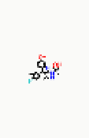 Cc1cc(-c2c(C(C)C)c(N[C@@](C)(C=O)CO)nc3cc(O)ccc23)ccc1F